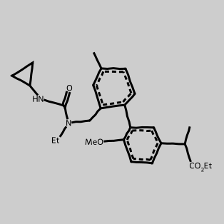 CCOC(=O)C(C)c1ccc(OC)c(-c2ccc(C)cc2CN(CC)C(=O)NC2CC2)c1